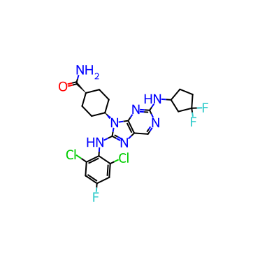 NC(=O)[C@H]1CC[C@@H](n2c(Nc3c(Cl)cc(F)cc3Cl)nc3cnc(NC4CCC(F)(F)C4)nc32)CC1